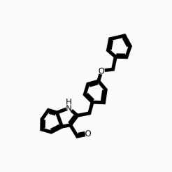 O=Cc1c(Cc2ccc(OCc3ccccc3)cc2)[nH]c2ccccc12